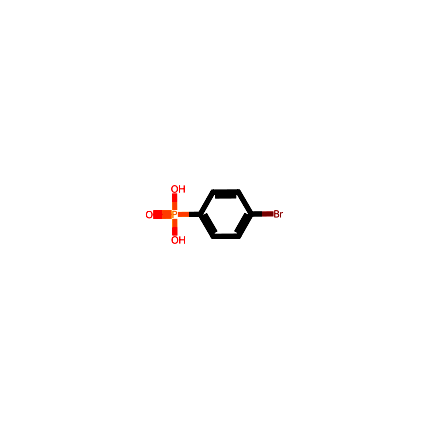 O=P(O)(O)c1ccc(Br)cc1